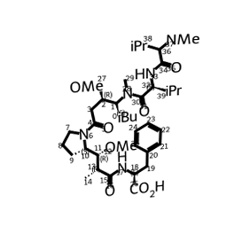 CC[C@H](C)C([C@@H](CC(=O)N1CCC[C@H]1[C@H](OC)[C@@H](C)C(=O)N[C@@H](Cc1ccccc1)C(=O)O)OC)N(C)C(=O)[C@@H](NC(=O)C(NC)C(C)C)C(C)C